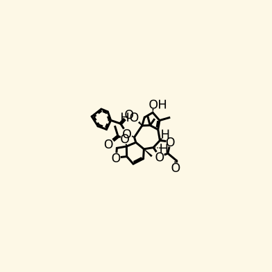 CC(=O)O[C@@]12COC1C=C[C@]1(C)C2[C@H](OC(=O)c2ccccc2)[C@]2(O)C[C@H](O)C(C)=C([C@H]3OC(C=O)O[C@H]31)C2(C)C